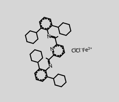 CC(=Nc1c(C2CCCCC2)cccc1C1CCCCC1)c1cccc(C(C)=Nc2c(C3CCCCC3)cccc2C2CCCCC2)n1.[Cl-].[Cl-].[Fe+2]